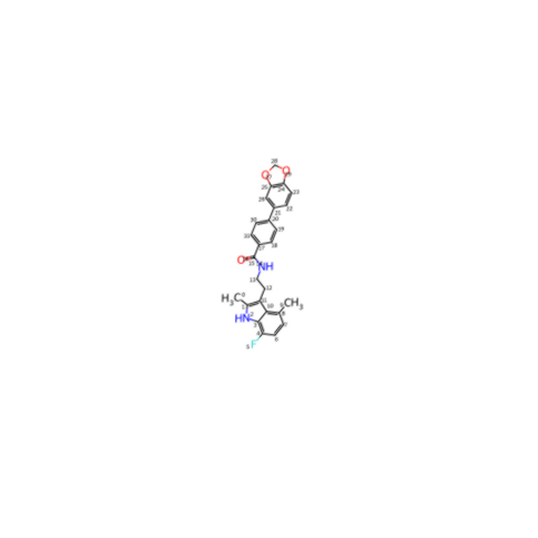 Cc1[nH]c2c(F)ccc(C)c2c1CCNC(=O)c1ccc(-c2ccc3c(c2)OCO3)cc1